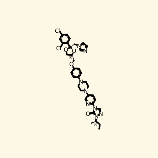 CC[C@@H](C)n1ncn(-c2ccc(N3CCN(c4ccc(OC[C@@H]5CO[C@@](Cn6ccnc6)(c6ccc(Cl)cc6Cl)O5)cc4)CC3)cn2)c1=O